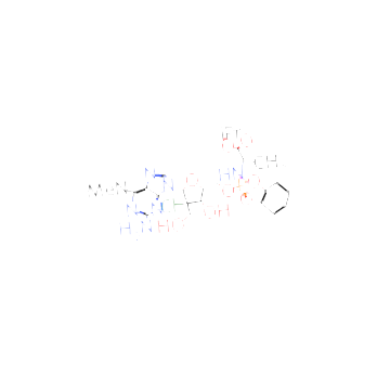 CNc1nc(N)nc2c1ncn2[C@@H]1O[C@H](CO[P@](=O)(N[C@@H](C)C(=O)OC(C)C)Oc2ccccc2)[C@@H](O)[C@]1(Cl)CO